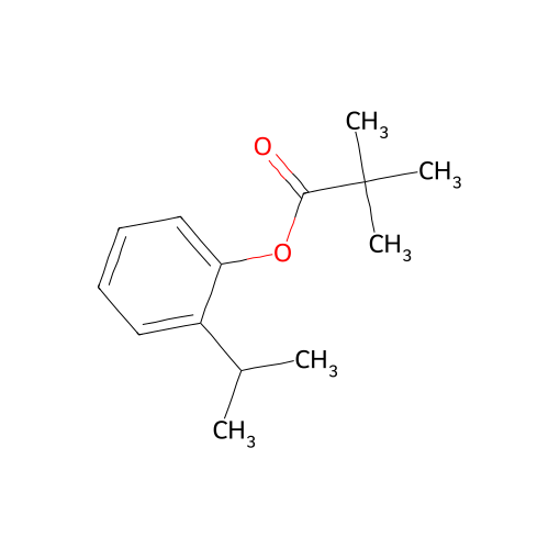 CC(C)c1ccccc1OC(=O)C(C)(C)C